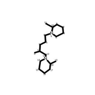 CC(CCCN1CCCCC1C)CN1CCCCC1C